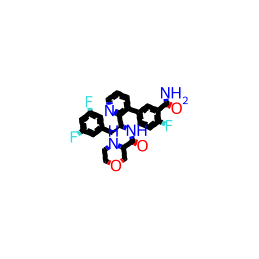 NC(=O)c1cc(-c2cccnc2[C@H](Cc2cc(F)cc(F)c2)NC(=O)C2COCCN2)ccc1F